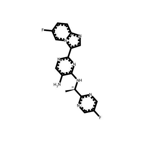 C[C@@H](Nc1nc(-c2cnc3ccc(F)cn23)ncc1N)c1ncc(F)cn1